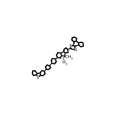 CC1(C)c2cc(-c3ccc(-c4ccc(-c5ccc6sc7ccccc7c6c5)cc4)cc3)ccc2-c2ccc(-c3cnc4c5ccccc5c5ccccc5c4n3)cc21